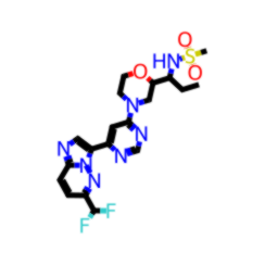 CCC(NS(C)(=O)=O)C1CN(c2cc(-c3cnc4ccc(C(F)F)nn34)ncn2)CCO1